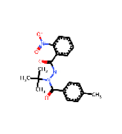 Cc1ccc(C(=O)N(NC(=O)c2ccccc2[N+](=O)[O-])C(C)(C)C)cc1